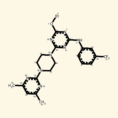 CCOc1nc(Nc2cccc(C(F)(F)F)c2)nc(N2CCN(c3nc(C)cc(C)n3)CC2)n1